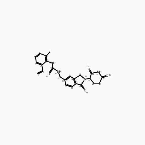 C=Cc1cccc(C)c1NC(=O)NCc1ccc2c(c1)CN(C1CCC(=O)NC1=O)C2=O